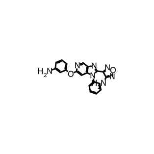 Nc1cccc(Oc2cc3c(cn2)nc(-c2nonc2N)n3-c2ccccc2)c1